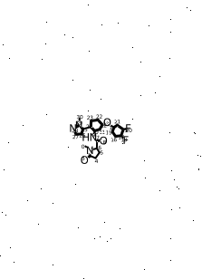 CN1C(=O)CCC1C(=O)Nc1cc(Oc2ccc(F)c(F)c2)ccc1-c1ccnn1C